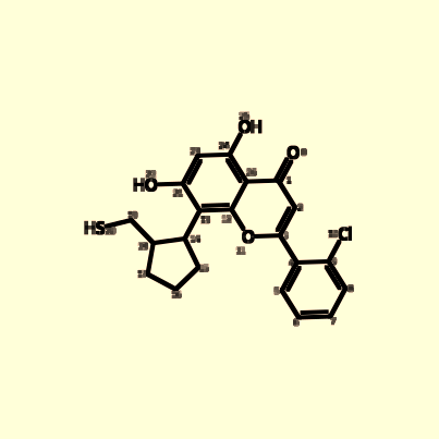 O=c1cc(-c2ccccc2Cl)oc2c(C3CCCC3CS)c(O)cc(O)c12